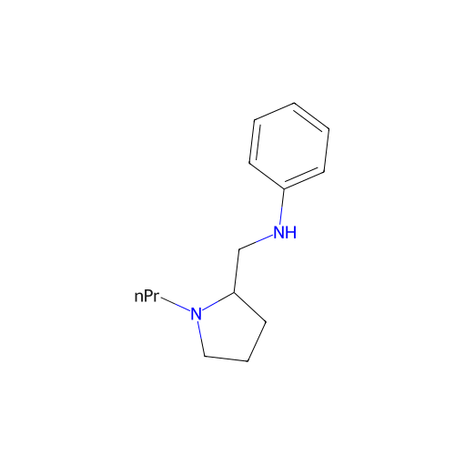 CCCN1CCCC1CNc1ccccc1